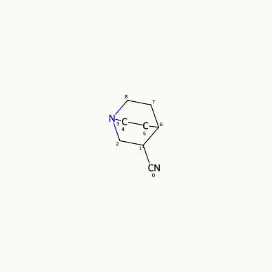 N#C[C]1CN2CCC1CC2